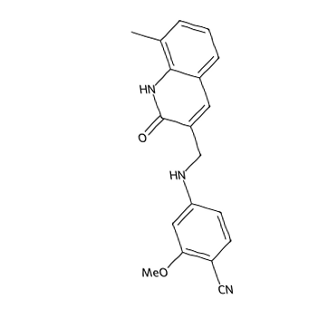 COc1cc(NCc2cc3cccc(C)c3[nH]c2=O)ccc1C#N